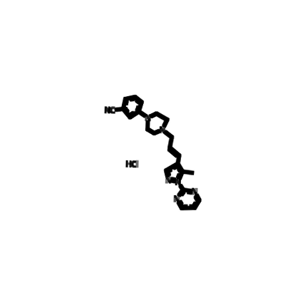 Cc1c(/C=C/CN2CCN(c3cccc(C#N)c3)CC2)cnn1-c1ncccn1.Cl